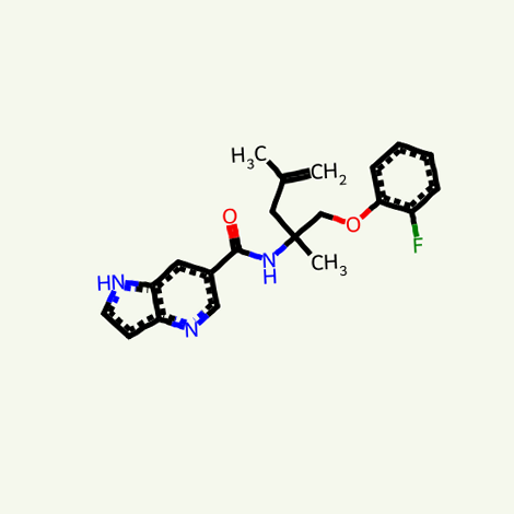 C=C(C)CC(C)(COc1ccccc1F)NC(=O)c1cnc2cc[nH]c2c1